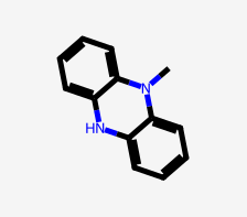 CN1c2ccccc2Nc2ccccc21